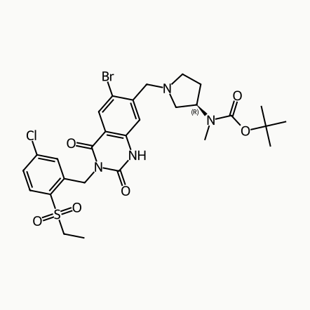 CCS(=O)(=O)c1ccc(Cl)cc1Cn1c(=O)[nH]c2cc(CN3CC[C@@H](N(C)C(=O)OC(C)(C)C)C3)c(Br)cc2c1=O